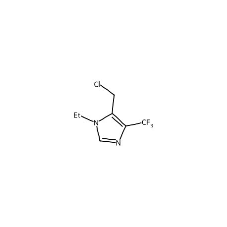 CCn1cnc(C(F)(F)F)c1CCl